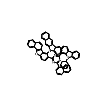 C1=CCC(n2c3ccccc3c3cccc(-c4nc(-c5ccc6oc7c8ccccc8ccc7c6c5-n5c6ccccc6c6cc7ccccc7cc65)nc(-c5cccc6ccccc56)n4)c32)C=C1